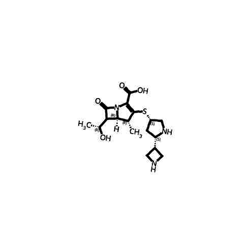 C[C@@H](O)C1C(=O)N2C(C(=O)O)=C(S[C@@H]3CN[C@H](C4CNC4)C3)[C@H](C)[C@@H]12